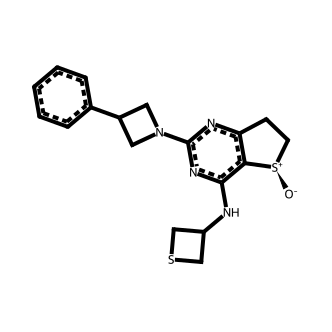 [O-][S@+]1CCc2nc(N3CC(c4ccccc4)C3)nc(NC3CSC3)c21